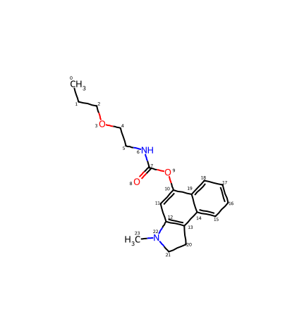 CCCOCCNC(=O)Oc1cc2c(c3ccccc13)CCN2C